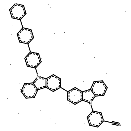 N#Cc1cccc(-n2c3ccccc3c3cc(-c4ccc5c(c4)c4ccccc4n5-c4ccc(-c5ccc(-c6ccccc6)cc5)cc4)ccc32)c1